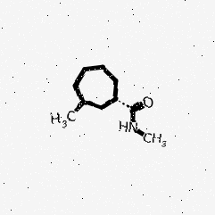 CNC(=O)[C@H]1CCCCC(C)C1